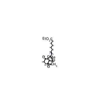 CCOC(=O)CCCCC/C=C/C[C@H]1O[C@@]1(C)[C@H]1[C@H](OC)C(=O)CC[C@]12CO2